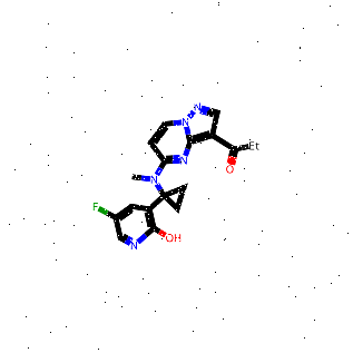 CCC(=O)c1cnn2ccc(N(C)C3(c4cc(F)cnc4O)CC3)nc12